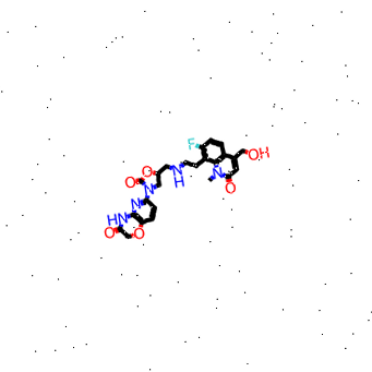 Cn1c(=O)cc(CO)c2ccc(F)c(CCNCC3CN(c4ccc5c(n4)NC(=O)CO5)C(=O)O3)c21